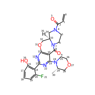 C=CC(=O)N1CCN2C(=O)c3c(nc(-c4c(O)cccc4F)nc3N3CCOC[C@@H]3C)OC[C@H]2C1